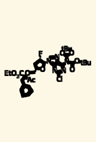 CCOC(=O)C(Cc1ccccc1)(OC[C@@H]1C[C@H](F)[C@H](n2cnc3c(N(C(=O)OC(C)(C)C)C(=O)OC(C)(C)C)nc(Cl)nc32)O1)C(C)=O